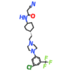 N#CCC(=O)N[C@H]1CC[C@H](CCN2CCN(c3cc(Cl)cc(C(F)(F)F)c3)CC2)CC1